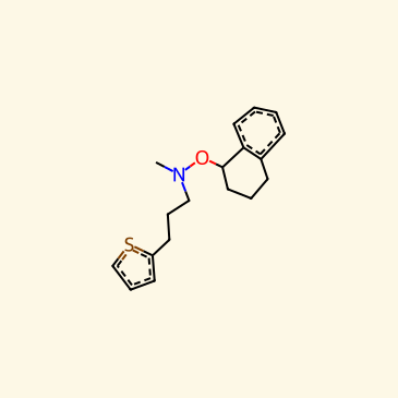 CN(CCCc1cccs1)OC1CCCc2ccccc21